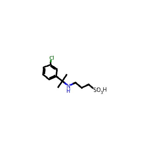 CC(C)(NCCCS(=O)(=O)O)c1cccc(Cl)c1